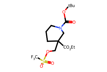 CCOC(=O)C1(COS(=O)(=O)C(F)(F)F)CCCN(C(=O)OC(C)(C)C)C1